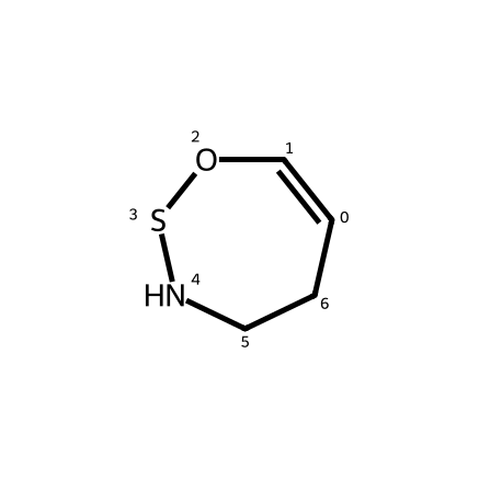 C1=COSNCC1